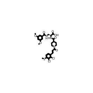 COc1cc(OC)cc(C(=O)NC[C@H](NC(=O)C2CCN(C(=O)/C=C/c3ccc(SC)c(Cl)c3Cl)CC2)C(=O)O)c1